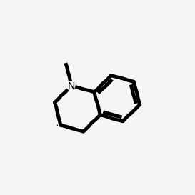 CN1C[CH]Cc2ccccc21